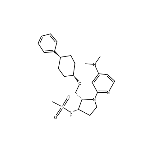 CN(C)c1ccnc(N2CC[C@H](NS(C)(=O)=O)[C@@H]2CO[C@H]2CC[C@@H](c3ccccc3)CC2)c1